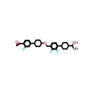 CCCC(O)C1CCC(c2ccc(COC3CCC(c4ccc(C5CO5)c(F)c4)CC3)c(F)c2F)CC1